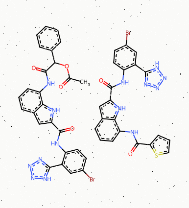 CC(=O)OC(C(=O)Nc1cccc2cc(C(=O)Nc3ccc(Br)cc3-c3nnn[nH]3)[nH]c12)c1ccccc1.O=C(Nc1ccc(Br)cc1-c1nnn[nH]1)c1cc2cccc(NC(=O)c3cccs3)c2[nH]1